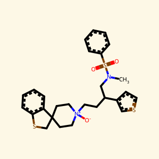 CN(CC(CC[N+]1([O-])CCC2(CC1)CSc1ccccc12)c1ccsc1)S(=O)(=O)c1ccccc1